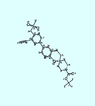 CC(C)(C)OC(=O)N1CCC2(CCc3cc(-c4ccc(CS(C)(=O)=O)c(C#N)c4)ccc3O2)CC1